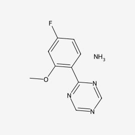 COc1cc(F)ccc1-c1ncncn1.N